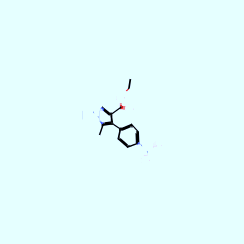 CCOC(=O)c1c[nH]c(C)c1-c1ccc([N+](=O)[O-])cc1